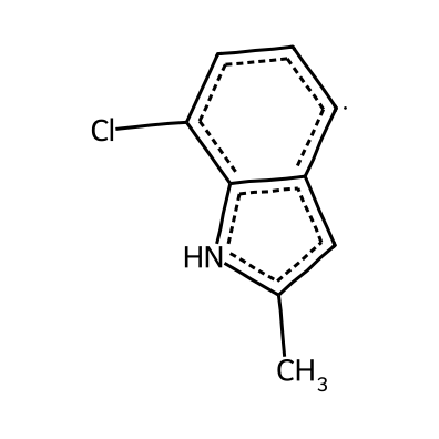 Cc1cc2[c]ccc(Cl)c2[nH]1